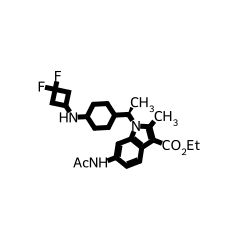 CCOC(=O)c1c(C)n([C@H](C)C2CCC(NC3CC(F)(F)C3)CC2)c2cc(NC(C)=O)ccc12